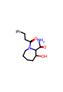 CC(C)CCC(=O)N1CCC[CH]C(O)C1C(N)=O